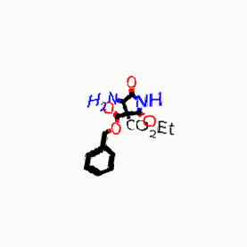 CCOC(=O)C1(C(=O)OCc2ccccc2)C(=O)NC(=O)C1N